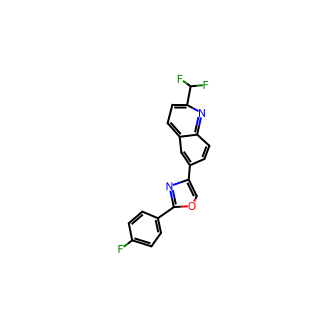 Fc1ccc(-c2nc(-c3ccc4nc(C(F)F)ccc4c3)co2)cc1